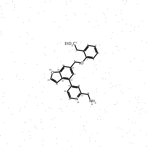 CCOC(=O)Cc1ccccc1OCc1cc(-c2ccnc(CN)c2)c2ccoc2c1